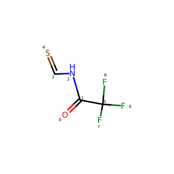 O=C(NC=S)C(F)(F)F